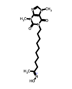 C/C(CCCCCCCCCn1c(=O)c2c(ncn2C)n(C)c1=O)=N\O